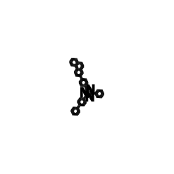 c1ccc(-c2ccc(-c3nc(-c4ccccc4)nc(-c4ccc(-c5ccc6c(ccc7ccccc76)c5)cc4)n3)cc2)cc1